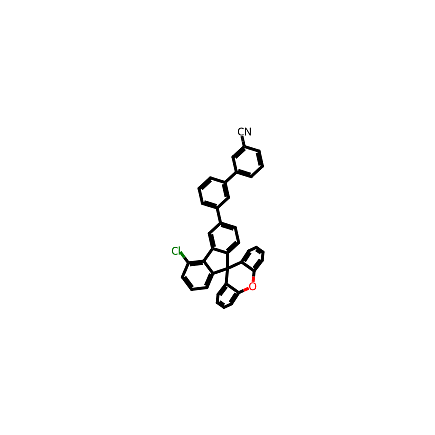 N#Cc1cccc(-c2cccc(-c3ccc4c(c3)-c3c(Cl)cccc3C43c4ccccc4Oc4ccccc43)c2)c1